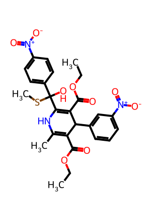 CCOC(=O)C1=C(C)NC(C(O)(SC)c2ccc([N+](=O)[O-])cc2)=C(C(=O)OCC)C1c1cccc([N+](=O)[O-])c1